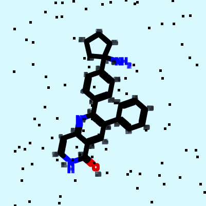 NC1(c2ccc(-c3nc4cc[nH]c(=O)c4cc3-c3ccccc3)cc2)CCCC1